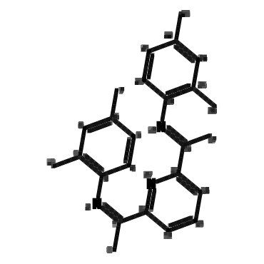 CC(=Nc1ccc(C)cc1C)c1cccc(C(C)=Nc2ccc(C)cc2C)n1